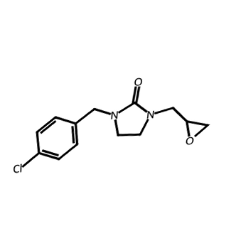 O=C1N(Cc2ccc(Cl)cc2)CCN1CC1CO1